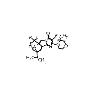 CC(C)C(=O)CC1c2nc(N3CCOC[C@H]3C)c(F)c(=O)n2C[C@@]1(C)C(F)(F)F